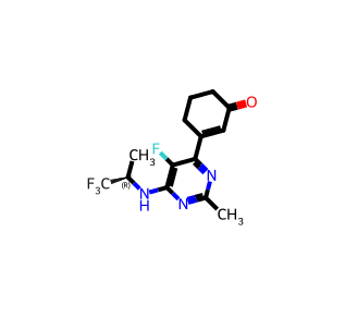 Cc1nc(N[C@H](C)C(F)(F)F)c(F)c(C2=CC(=O)CCC2)n1